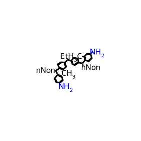 CCCCCCCCCC(c1ccc(C(CC)c2ccc(C(CCCCCCCCC)c3ccc(N)cc3C)cc2)cc1)c1ccc(N)cc1C